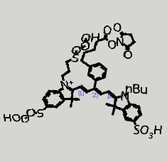 CCCCN1/C(=C/C=C(/C=C/C2=[N+](CCCSOOO)c3ccc(SOOO)cc3C2(C)C)c2cccc(CCCCC(=O)ON3C(=O)CCC3=O)c2)C(C)(C)c2cc(S(=O)(=O)O)ccc21